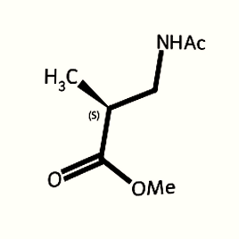 COC(=O)[C@@H](C)CNC(C)=O